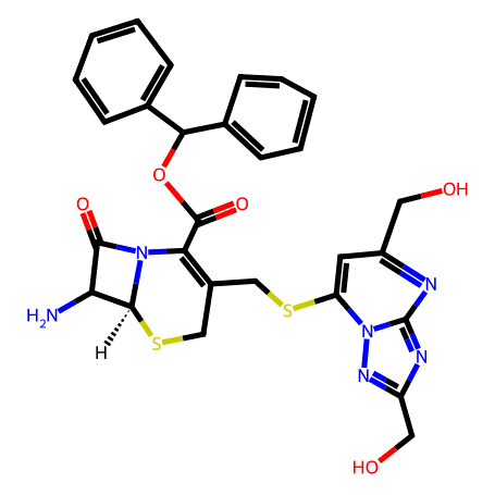 NC1C(=O)N2C(C(=O)OC(c3ccccc3)c3ccccc3)=C(CSc3cc(CO)nc4nc(CO)nn34)CS[C@@H]12